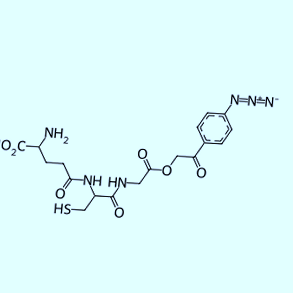 [N-]=[N+]=Nc1ccc(C(=O)COC(=O)CNC(=O)C(CS)NC(=O)CCC(N)C(=O)O)cc1